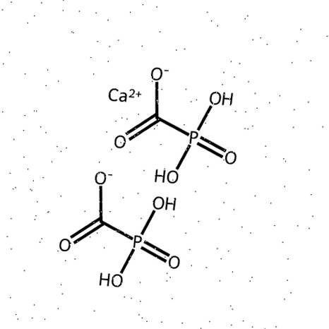 O=C([O-])P(=O)(O)O.O=C([O-])P(=O)(O)O.[Ca+2]